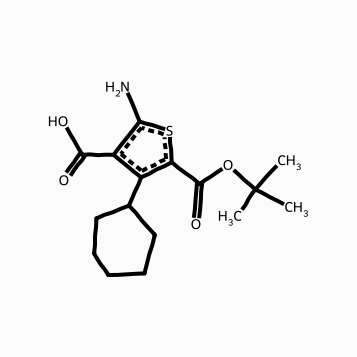 CC(C)(C)OC(=O)c1sc(N)c(C(=O)O)c1C1CCCCC1